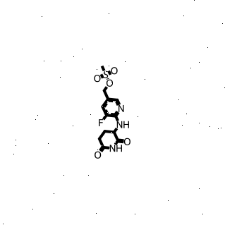 CS(=O)(=O)OCc1cnc(NC2CCC(=O)NC2=O)c(F)c1